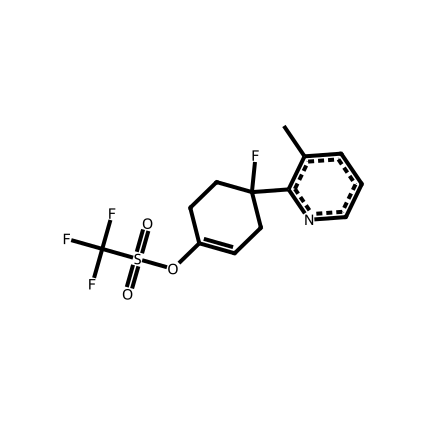 Cc1cccnc1C1(F)CC=C(OS(=O)(=O)C(F)(F)F)CC1